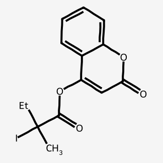 CCC(C)(I)C(=O)Oc1cc(=O)oc2ccccc12